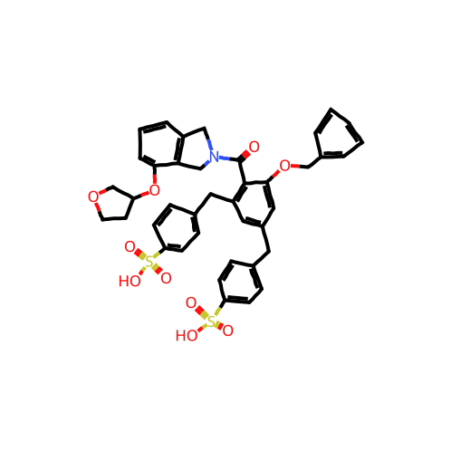 O=C(c1c(Cc2ccc(S(=O)(=O)O)cc2)cc(Cc2ccc(S(=O)(=O)O)cc2)cc1OCc1ccccc1)N1Cc2cccc(OC3CCOC3)c2C1